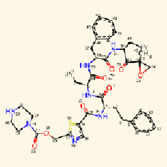 CC(C)C[C@H](NC(=O)[C@H](CCc1ccccc1)NC(=O)c1cnc(COC(=O)N2CCNCC2)s1)C(=O)N[C@@H](Cc1ccccc1)C(=O)N[C@@H](CC(C)C)C(=O)C1(C)CO1